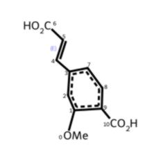 COc1cc(/C=C/C(=O)O)ccc1C(=O)O